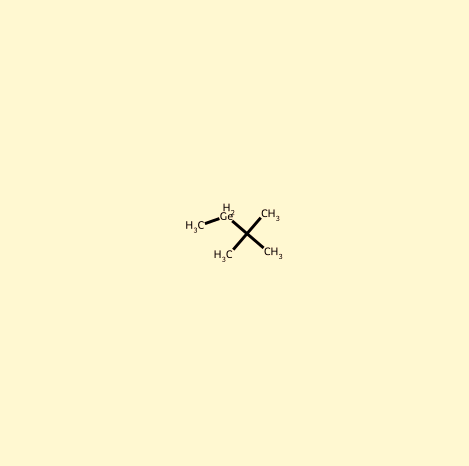 [CH3][GeH2][C](C)(C)C